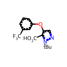 CC(C)(C)n1ncc(Oc2cccc(C(F)(F)F)c2)c1C(=O)O